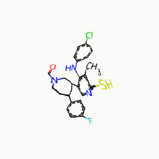 Cc1c(S)ncc(C2CN(C=O)CCC2c2ccc(F)cc2)c1Nc1ccc(Cl)cc1